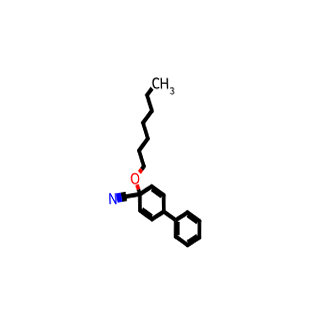 CCCCCCCOC1(C#N)C=CC(c2ccccc2)C=C1